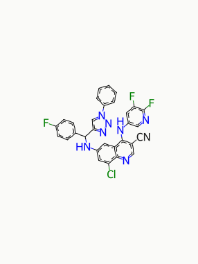 N#Cc1cnc2c(Cl)cc(NC(c3ccc(F)cc3)c3cn(-c4ccccc4)nn3)cc2c1Nc1cnc(F)c(F)c1